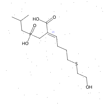 CC(C)CP(=O)(O)C/C(=C\CCCSCCO)C(=O)O